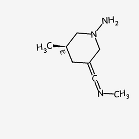 CN=C=C1C[C@@H](C)CN(N)C1